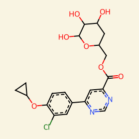 O=C(OCC1CC(O)C(O)C(O)O1)c1cc(-c2ccc(OC3CC3)c(Cl)c2)ncn1